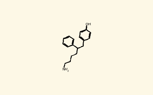 NCCCC[C](Cc1ccc(O)cc1)c1ccccc1